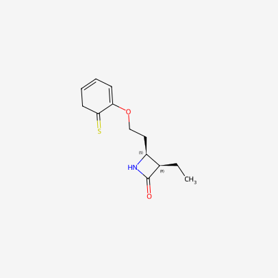 CC[C@H]1C(=O)N[C@H]1CCOC1=CC=CCC1=S